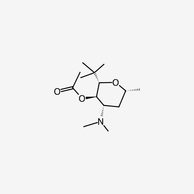 CC(=O)O[C@H]1[C@H](C(C)(C)C)O[C@H](C)C[C@@H]1N(C)C